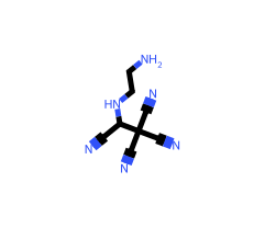 N#CC(NCCN)C(C#N)(C#N)C#N